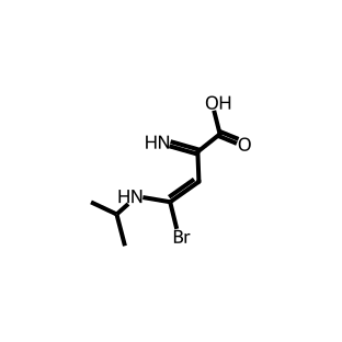 CC(C)N/C(Br)=C\C(=N)C(=O)O